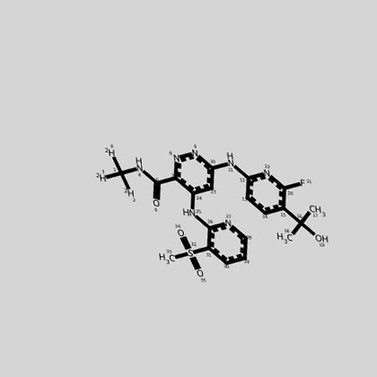 [2H]C([2H])([2H])NC(=O)c1nnc(Nc2ccc(C(C)(C)O)c(F)n2)cc1Nc1ncccc1S(C)(=O)=O